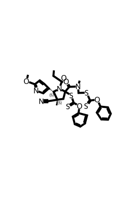 CCC(=O)N1[C@@H](c2ccc(OC)nc2)[C@@](C)(C#N)CC1(SC(=S)Oc1ccccc1)C(=O)N(C)CSC(=S)Oc1ccccc1